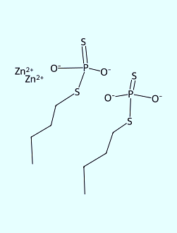 CCCCSP([O-])([O-])=S.CCCCSP([O-])([O-])=S.[Zn+2].[Zn+2]